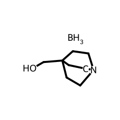 B.OCC12CCN(CC1)CC2